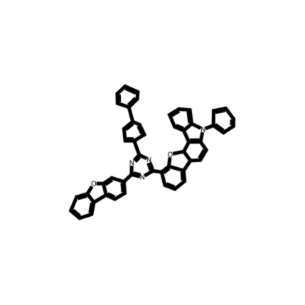 C1=CC2c3cccc(-c4nc(-c5ccc(-c6ccccc6)cc5)nc(-c5ccc6c(c5)oc5ccccc56)n4)c3OC2c2c1n(-c1ccccc1)c1ccccc21